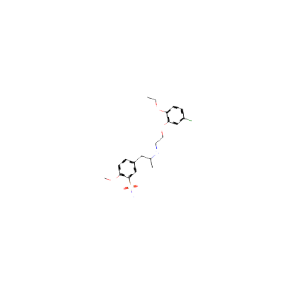 CCOc1ccc(F)cc1OCCNC(C)Cc1ccc(OC)c(S(N)(=O)=O)c1.Cl